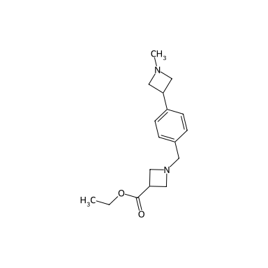 CCOC(=O)C1CN(Cc2ccc(C3CN(C)C3)cc2)C1